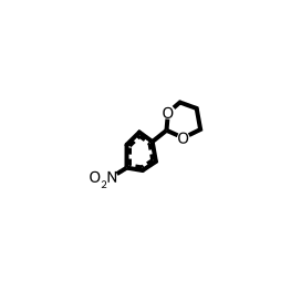 O=[N+]([O-])c1ccc(C2OCCCO2)cc1